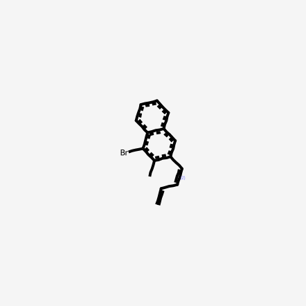 C=C/C=C\c1cc2ccccc2c(Br)c1C